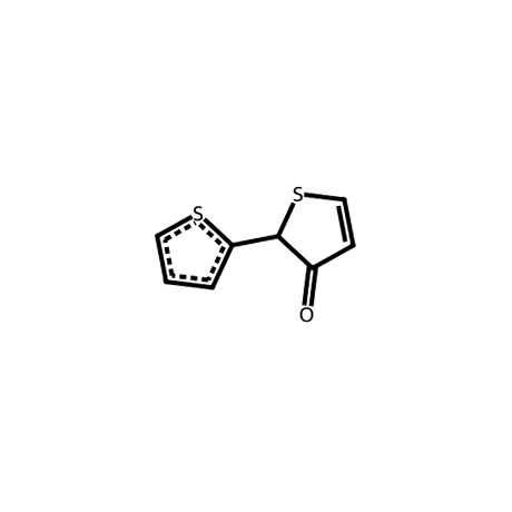 O=C1C=CSC1c1cccs1